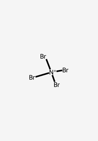 Br[N+](Br)(Br)Br